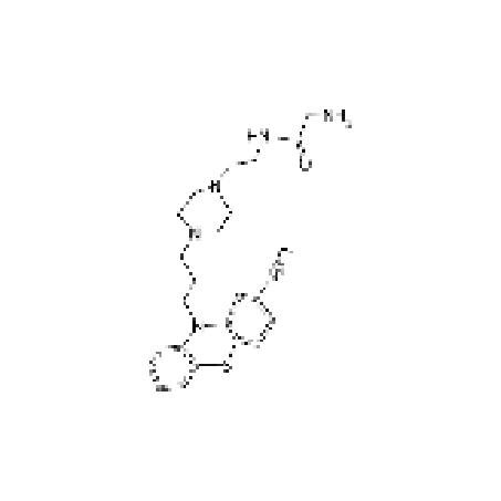 [C-]#[N+]c1ccc2c(c1)N(CCCN1CCN(CCNC(=O)CN)CC1)c1ccccc1S2